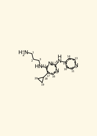 NCCCNc1nc(Nc2ccncc2)ncc1C1CC1